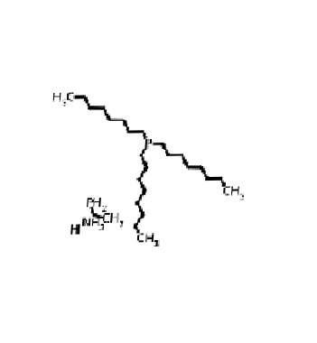 CCCCCCCCP(CCCCCCCC)CCCCCCCC.CCP.I.N